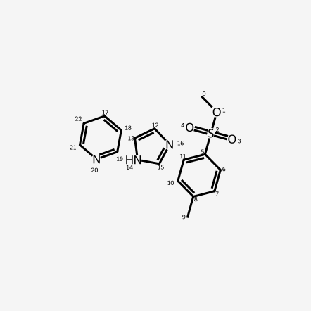 COS(=O)(=O)c1ccc(C)cc1.c1c[nH]cn1.c1ccncc1